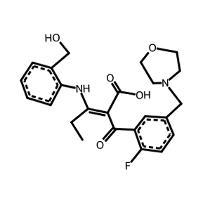 CCC(Nc1ccccc1CO)=C(C(=O)O)C(=O)c1cc(CN2CCOCC2)ccc1F